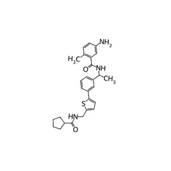 Cc1ccc(N)cc1C(=O)NC(C)c1cccc(-c2ccc(CNC(=O)C3CCCC3)s2)c1